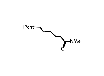 CCCC(C)CCCCCC(=O)NC